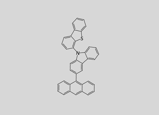 c1ccc2c(-c3ccc4c(c3)c3ccccc3n4-c3cccc4c3sc3ccccc34)c3ccccc3cc2c1